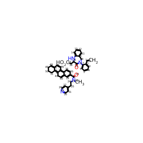 C=Cc1ccccc1N1Cc2ccccc2NC(CC(=O)O)C1=O.CN(CCc1ccncc1)C(=O)c1ccc2c(c1)=CCc1c3c(ccc1=2)=CCCC3